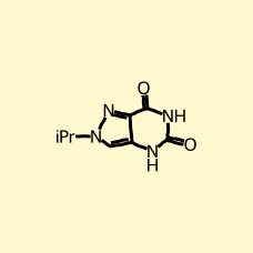 CC(C)n1cc2[nH]c(=O)[nH]c(=O)c2n1